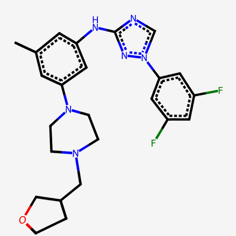 Cc1cc(Nc2ncn(-c3cc(F)cc(F)c3)n2)cc(N2CCN(CC3CCOC3)CC2)c1